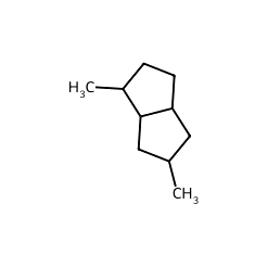 CC1CC2CCC(C)C2C1